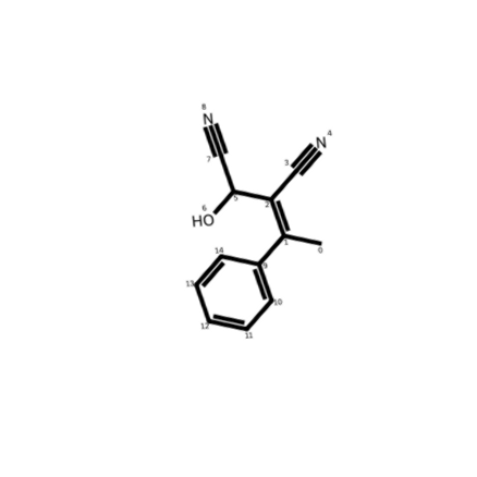 CC(=C(C#N)C(O)C#N)c1ccccc1